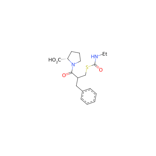 CCNC(=O)SCC(Cc1ccccc1)C(=O)N1CCC[C@H]1C(=O)O